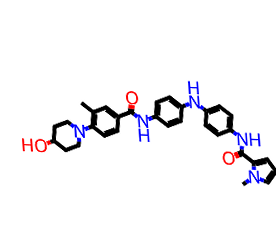 Cc1cc(C(=O)Nc2ccc(Nc3ccc(NC(=O)c4cccn4C)cc3)cc2)ccc1N1CCC(O)CC1